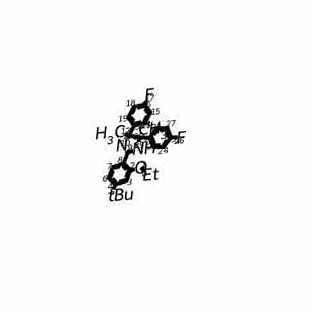 CCOc1cc(C(C)(C)C)ccc1C1=NC(C)(c2ccc(F)cc2)C(C)(c2ccc(F)cc2)N1